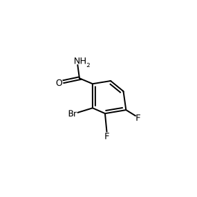 NC(=O)c1ccc(F)c(F)c1Br